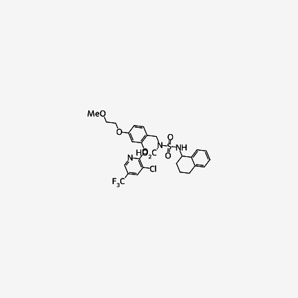 COCCOc1ccc(CN(C(=O)O)S(=O)(=O)NC2CCCc3ccccc32)c(Oc2ncc(C(F)(F)F)cc2Cl)c1